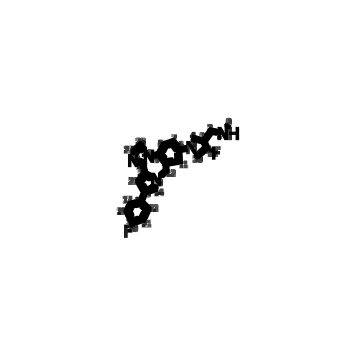 CNCC1CN(c2ccc3c(c2)Cn2cc(-c4ccc(F)cc4)cc2-c2nccn2-3)C[C@H]1F